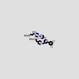 CNCCC(C)N1CCN(c2ncc(Oc3cc(CN4CCC(CC(=O)OC)CC4)cc(-c4cc(Cl)cc(Cl)c4)n3)cn2)CC1